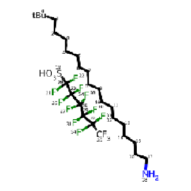 CC(C)(C)CCCCCCCCCCCCCCCCCN.O=S(=O)(O)C(F)(F)C(F)(F)C(F)(F)C(F)(F)C(F)(F)C(F)(F)F